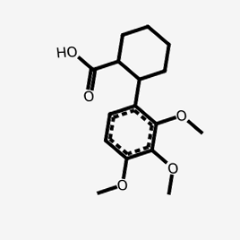 COc1ccc(C2CCCCC2C(=O)O)c(OC)c1OC